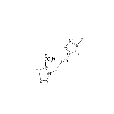 Cc1ncc(SCCN2CCC[C@H]2C(=O)O)s1